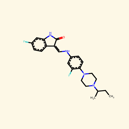 CCC(C)N1CCN(c2ccc(NC=C3C(=O)Nc4cc(F)ccc43)cc2F)CC1